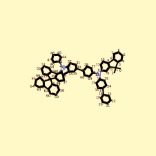 CC1(C)c2ccccc2-c2ccc(N(c3ccc(-c4ccccc4)cc3)c3ccc(-c4ccc5c(c4)c4ccc6c(c4n5-c4ccccc4)-c4ccccc4C64c5ccccc5-c5ccccc54)cc3)cc21